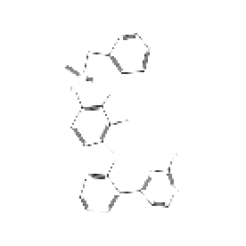 Cc1c(Oc2ncccc2-c2ccnc(N)n2)ccc(NS(=O)(=O)Cc2ccccc2)c1F